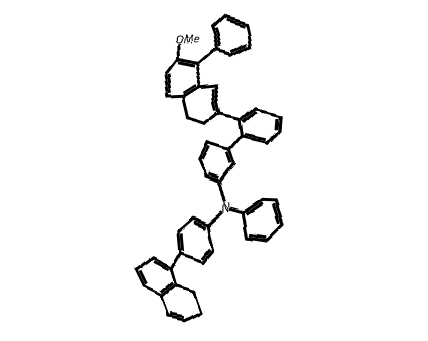 COc1ccc2c(c1-c1ccccc1)C=C(c1ccccc1-c1cccc(N(c3ccccc3)c3ccc(-c4cccc5c4CCC=C5)cc3)c1)CC2